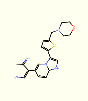 CC(=N)/C(=C\N)C1=CN2C(c3ccc(CN4CCOCC4)s3)=CNC2C=C1